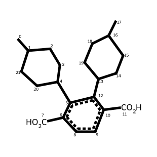 CC1CCC(c2c(C(=O)O)ccc(C(=O)O)c2C2CCC(C)CC2)CC1